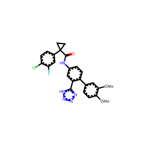 COc1ccc(-c2ccc(NC(=O)C3(c4ccc(Cl)c(F)c4)CC3)cc2-c2nnn[nH]2)cc1OC